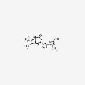 Cc1cc2c(cc1C(F)(F)F)NC(=O)CC(c1cccc(-c3nc(CO)sc3C)c1)=N2